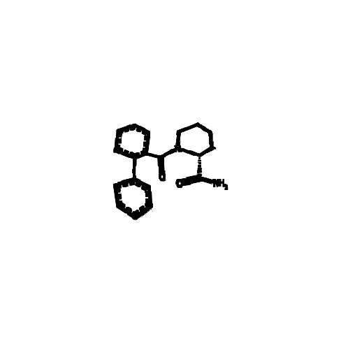 NC(=O)[C@H]1[CH]CCCN1C(=O)c1ccccc1-c1ccccc1